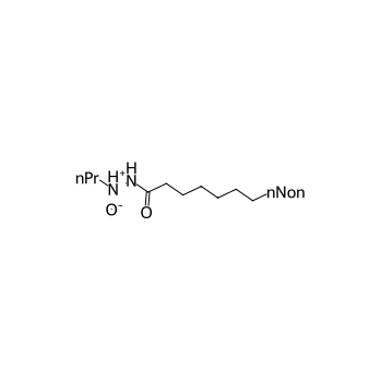 CCCCCCCCCCCCCCCC(=O)N[NH+]([O-])CCC